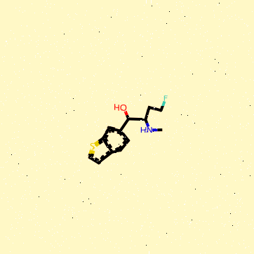 CNC(CCF)C(O)c1ccc2ccsc2c1